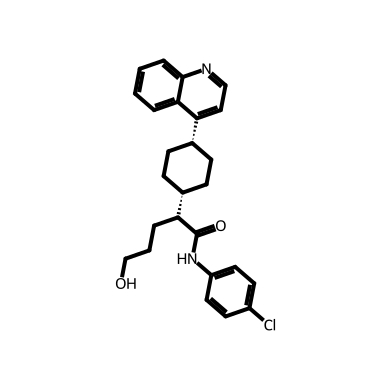 O=C(Nc1ccc(Cl)cc1)C(CCCO)[C@H]1CC[C@@H](c2ccnc3ccccc32)CC1